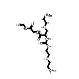 COCCOCCOC(=O)NC(COCCOC)C(=O)NCC(=O)NCC(C)C